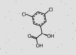 O=C(O)[C@H](O)c1cc(Cl)cc(Cl)c1